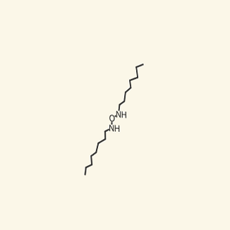 CCCCCCCCNONCCCCCCCC